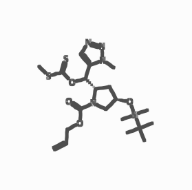 C=CCOC(=O)N1C[C@H](O[Si](C)(C)C(C)(C)C)C[C@H]1C(OC(=S)SC)c1cnnn1C